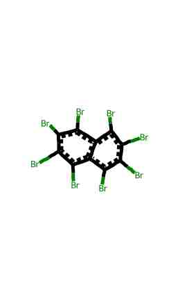 Brc1c(Br)c(Br)c2c(Br)c(Br)c(Br)c(Br)c2c1Br